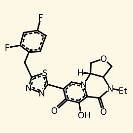 CCN1C(=O)c2c(O)c(=O)c(-c3nnc(Cc4ccc(F)cc4F)s3)cn2[C@@H]2COCC21